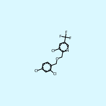 FC(F)(F)c1cnc(COCc2ccc(Cl)cc2Cl)c(Cl)c1